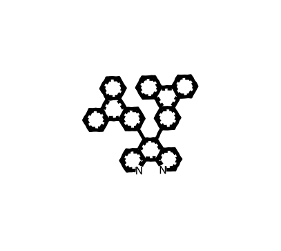 c1cnc2c(c1)c(-c1ccc3c4ccccc4c4ccccc4c3c1)c(-c1ccc3c4ccccc4c4ccccc4c3c1)c1cccnc12